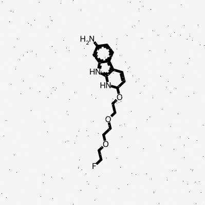 Nc1ccc2c3c([nH]c2c1)NC(OCCOCCOCCF)C=C3